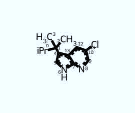 CC(C)C(C)(C)c1c[nH]c2ncc(Cl)cc12